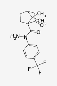 CC1(C)C2CCC1(C(=O)N(N)c1ccc(C(F)(F)F)cc1)C(=O)C2